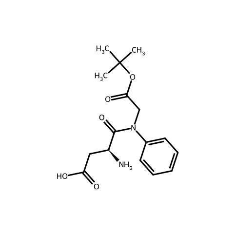 CC(C)(C)OC(=O)CN(C(=O)[C@@H](N)CC(=O)O)c1ccccc1